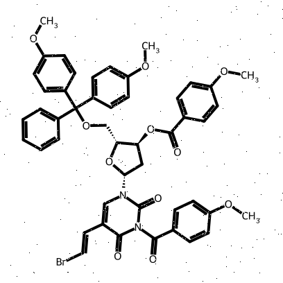 COc1ccc(C(=O)O[C@H]2C[C@H](n3cc(/C=C/Br)c(=O)n(C(=O)c4ccc(OC)cc4)c3=O)O[C@@H]2COC(c2ccccc2)(c2ccc(OC)cc2)c2ccc(OC)cc2)cc1